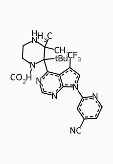 CC(C)(C)C1(c2ncnc3c2c(C(F)(F)F)cn3-c2cc(C#N)ccn2)N(C(=O)O)CCNC1(C)C